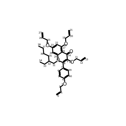 C=CCOc1ccc(-c2c(OCC=C)c(=O)c3c(OCC=C)cc(OCC=C)cc3n2CC(CC)CCCC)cc1